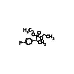 CCOP(=O)(OCC)C(C)c1ccc(F)cc1